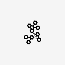 c1ccc(-c2ccc(N(c3ccc4c(c3)c(-c3ccccc3)c(-c3ccccc3)c3ccccc34)c3cccc4c3oc3ccccc34)cc2-c2ccccc2)cc1